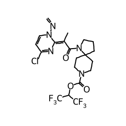 C=NN1C=CC(Cl)=N/C1=C(/C)C(=O)N1CCCC12CCN(C(=O)OC(C(F)(F)F)C(F)(F)F)CC2